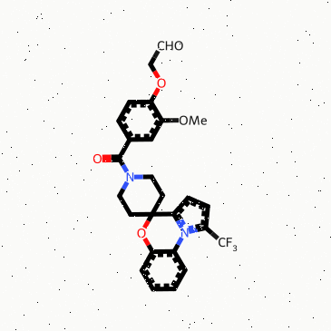 COc1cc(C(=O)N2CCC3(CC2)Oc2ccccc2-n2c(C(F)(F)F)ccc23)ccc1OCC=O